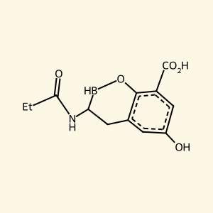 CCC(=O)NC1BOc2c(cc(O)cc2C(=O)O)C1